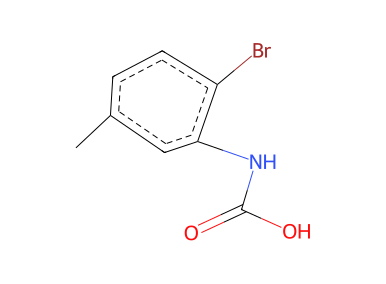 Cc1ccc(Br)c(NC(=O)O)c1